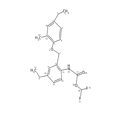 CCc1ccc(OCc2cc(CC)ccc2NC(=O)OC(F)F)c(C)c1